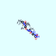 CC(C)c1cc(N2C(=S)N(c3ccc(C#N)c(C(F)(F)F)c3)C(=O)C2(C)C)ccc1OCCN1CCN(CC(=O)Nc2cccc(NC3CCC(=O)NC3=O)c2)[C@H](C)C1